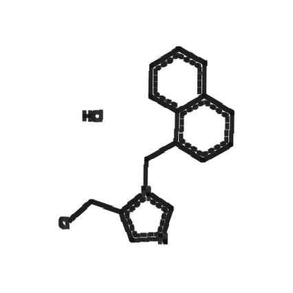 Cl.ClCc1cncn1Cc1cccc2ccccc12